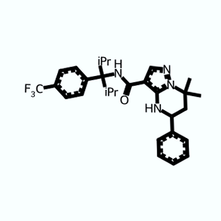 CC(C)C(NC(=O)c1cnn2c1NC(c1ccccc1)CC2(C)C)(c1ccc(C(F)(F)F)cc1)C(C)C